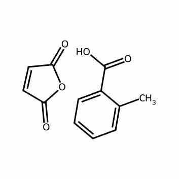 Cc1ccccc1C(=O)O.O=C1C=CC(=O)O1